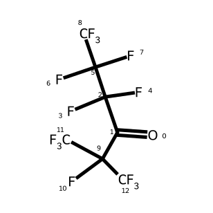 O=C(C(F)(F)C(F)(F)C(F)(F)F)C(F)(C(F)(F)F)C(F)(F)F